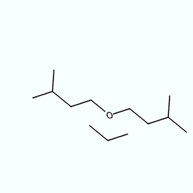 CC(C)CCOCCC(C)C.CCC